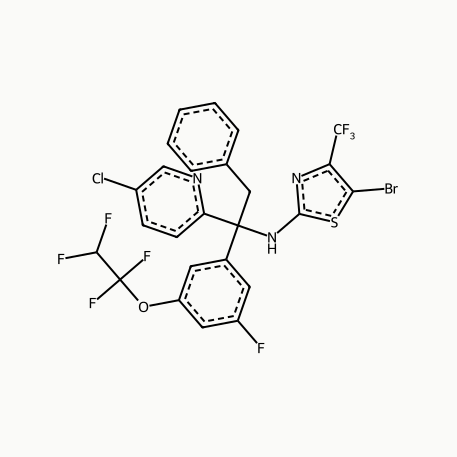 Fc1cc(OC(F)(F)C(F)F)cc(C(Cc2ccccc2)(Nc2nc(C(F)(F)F)c(Br)s2)c2ccc(Cl)cn2)c1